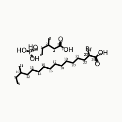 CCC(C)CC(=O)O.CCC(C)CCCCCCCCCCCC(Br)C(=O)O.O=[PH](O)O